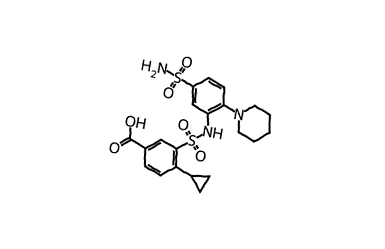 NS(=O)(=O)c1ccc(N2CCCCC2)c(NS(=O)(=O)c2cc(C(=O)O)ccc2C2CC2)c1